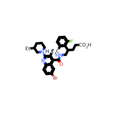 CCC1CCCN(c2nc3ccc(Br)cc3c(C(=O)NCC(CCC(=O)O)c3c(F)cccc3C(F)(F)F)c2C)C1